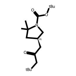 CC(C)(C)CC(=O)C[C@@H]1CN(C(=O)OC(C)(C)C)C(C)(C)C1